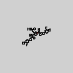 O=C(O)/C=C1\CC2(NC(=O)COc3ccc(Cl)c(F)c3)CCC1(NC(=O)COc1ccc(Cl)c(F)c1)CC2